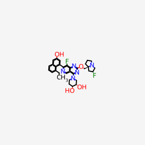 CCc1cccc2cc(O)cc(-c3ncc4c(N5CC[C@H](O)[C@@H](O)C5)nc(OC[C@@]56CCCN5C[C@H](F)C6)nc4c3F)c12